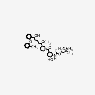 COC(CCCC(O)c1ccccc1Oc1ccccc1C)[C@@H]1CCCN(C(=O)C2CC[C@@H](O)[C@@H](NC(=O)OCC[Si](C)(C)C)C2)C1